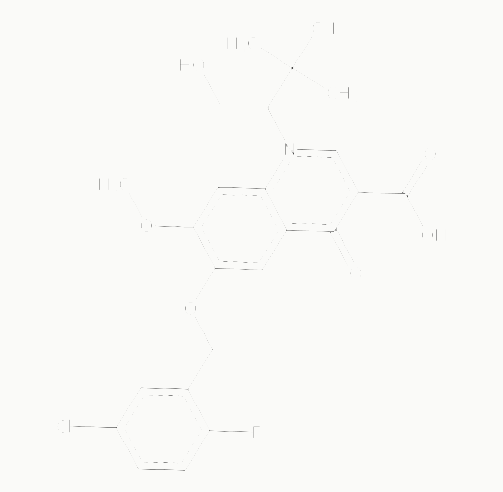 COc1cc2c(cc1OCc1cc(Cl)ccc1F)c(=O)c(C(=O)O)cn2[C@H](CO)C(C)(C)C